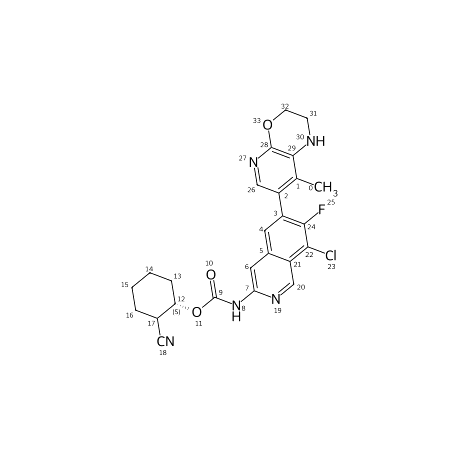 Cc1c(-c2cc3cc(NC(=O)O[C@H]4CCCCC4C#N)ncc3c(Cl)c2F)cnc2c1NCCO2